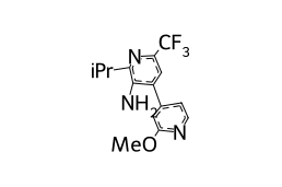 COc1cc(-c2cc(C(F)(F)F)nc(C(C)C)c2N)ccn1